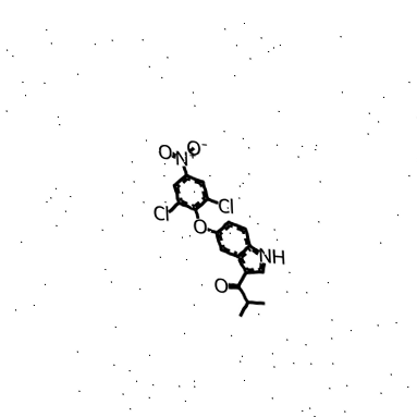 CC(C)C(=O)c1c[nH]c2ccc(Oc3c(Cl)cc([N+](=O)[O-])cc3Cl)cc12